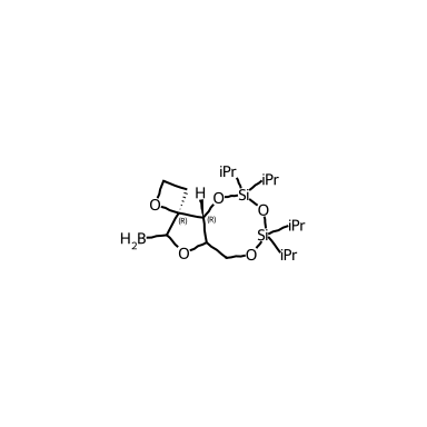 BC1OC2CO[Si](C(C)C)(C(C)C)O[Si](C(C)C)(C(C)C)O[C@H]2[C@@]12CCO2